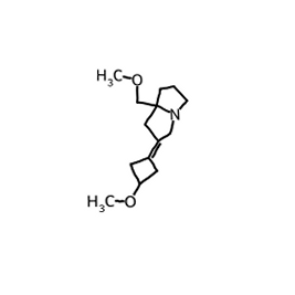 COCC12CCCN1CC(=C1CC(OC)C1)C2